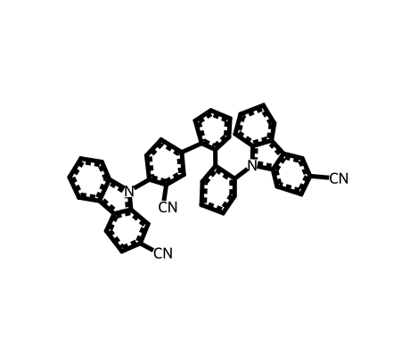 N#Cc1ccc2c(c1)c1ccccc1n2-c1ccccc1-c1ccccc1-c1ccc(-n2c3ccccc3c3ccc(C#N)cc32)c(C#N)c1